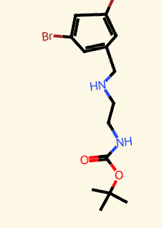 CC(C)(C)OC(=O)NCCNCc1cc(Br)cc(Br)c1